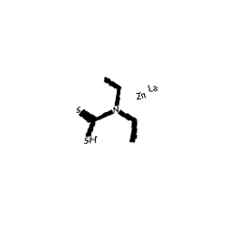 CCN(CC)C(=S)S.[La].[Zn]